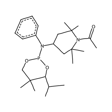 CC(=O)N1C(C)(C)CC(N(c2ccccc2)P2OCC(C)(C)C(C(C)C)O2)CC1(C)C